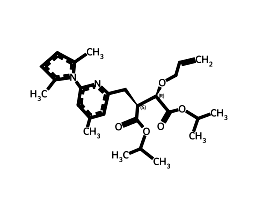 C=CCO[C@@H](C(=O)OC(C)C)[C@H](Cc1cc(C)cc(-n2c(C)ccc2C)n1)C(=O)OC(C)C